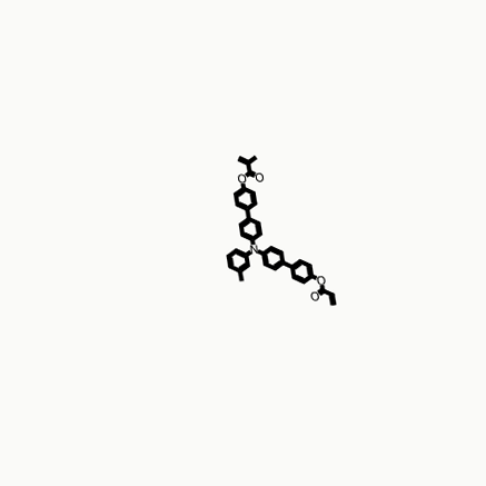 C=CC(=O)Oc1ccc(-c2ccc(N(c3ccc(-c4ccc(OC(=O)C(=C)C)cc4)cc3)c3cccc(C)c3)cc2)cc1